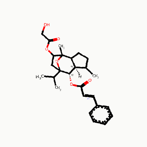 CC1CCC2[C@@H]1[C@H](OC(=O)/C=C/c1ccccc1)C1(C(C)C)CC(OC(=O)CO)C2(C)O1